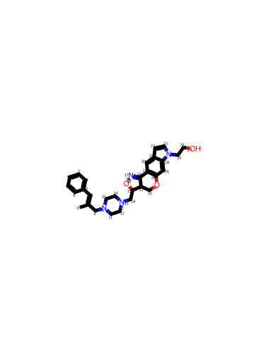 CC(=Cc1ccccc1)CN1CCN(CC2ON=C3c4cc5ccn(CCO)c5cc4OCC32)CC1